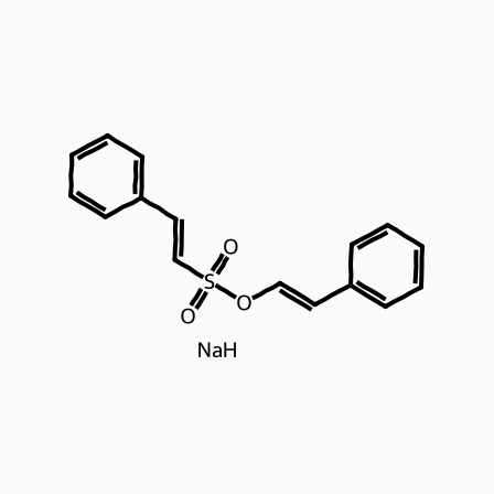 O=S(=O)(C=Cc1ccccc1)OC=Cc1ccccc1.[NaH]